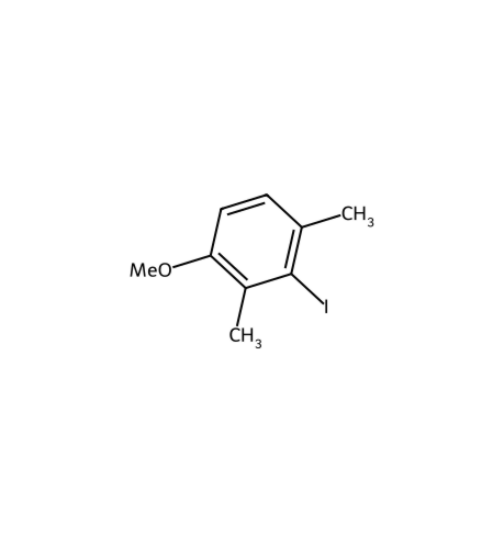 COc1ccc(C)c(I)c1C